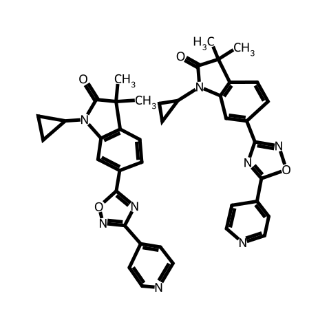 CC1(C)C(=O)N(C2CC2)c2cc(-c3nc(-c4ccncc4)no3)ccc21.CC1(C)C(=O)N(C2CC2)c2cc(-c3noc(-c4ccncc4)n3)ccc21